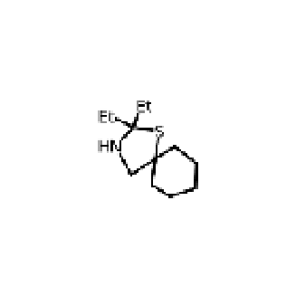 CCC1(CC)NCC2(CCCCC2)S1